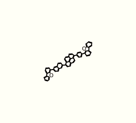 c1ccc2c(c1)oc1c(-c3ccc(-c4ccc5ccc6c(-c7ccc8cc(-c9cccc%10c9oc9ccccc9%10)ccc8c7)ccc7ccc4c5c76)cc3)cccc12